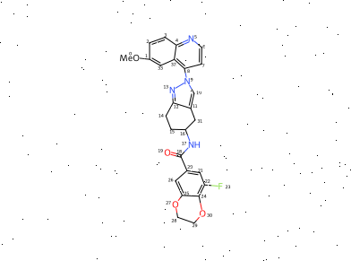 COc1ccc2nccc(-n3cc4c(n3)CCC(NC(=O)c3cc(F)c5c(c3)OCCO5)C4)c2c1